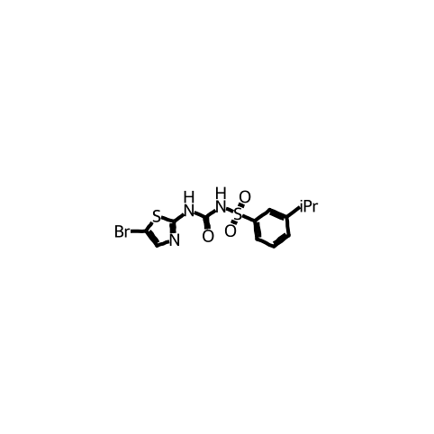 CC(C)c1cccc(S(=O)(=O)NC(=O)Nc2ncc(Br)s2)c1